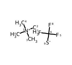 C[N+](C)(C)C.FC(F)(F)[S-]